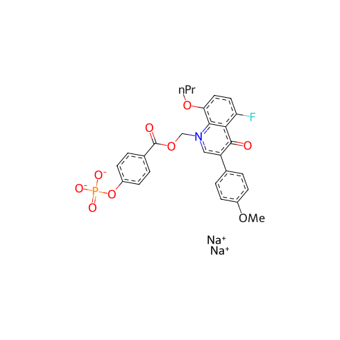 CCCOc1ccc(F)c2c(=O)c(-c3ccc(OC)cc3)cn(COC(=O)c3ccc(OP(=O)([O-])[O-])cc3)c12.[Na+].[Na+]